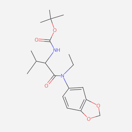 CCN(C(=O)C(NC(=O)OC(C)(C)C)C(C)C)c1ccc2c(c1)OCO2